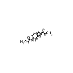 CCC(=O)NC1CCc2cn(C(=O)CC)cc2C1